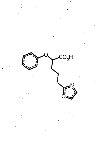 O=C(O)C(CCCc1ncco1)Oc1ccccc1